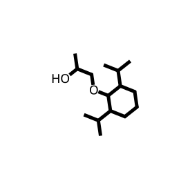 CC(O)COC1C(C(C)C)CCCC1C(C)C